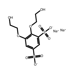 O=S(=O)([O-])c1cc(OCCO)c(OCCO)c(S(=O)(=O)[O-])c1.[Na+].[Na+]